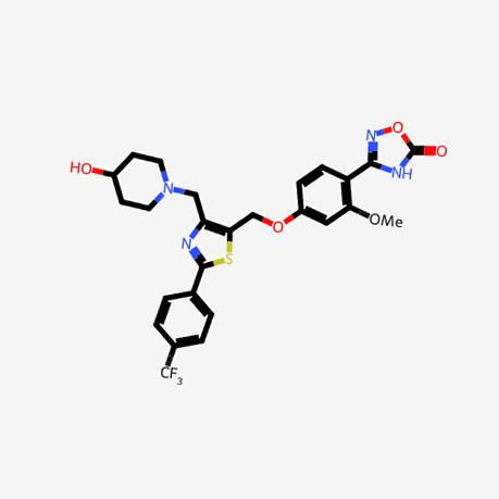 COc1cc(OCc2sc(-c3ccc(C(F)(F)F)cc3)nc2CN2CCC(O)CC2)ccc1-c1noc(=O)[nH]1